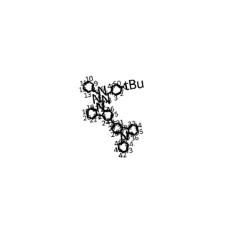 CC(C)(C)c1ccc(-c2nc(-c3ccccc3)nc(-n3c4ccccc4c4cc(-c5ccc6c(c5)c5ccccc5n6-c5ccccc5)ccc43)n2)cc1